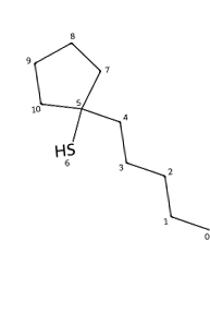 CCCCCC1(S)CCCC1